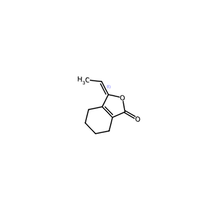 C/C=C1/OC(=O)C2=C1CCCC2